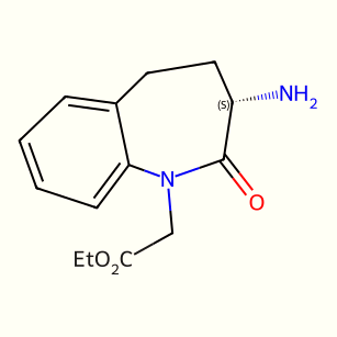 CCOC(=O)CN1C(=O)[C@@H](N)CCc2ccccc21